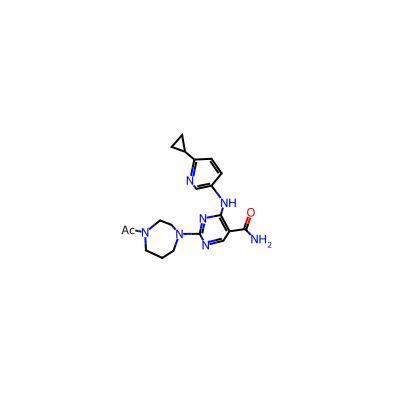 CC(=O)N1CCCN(c2ncc(C(N)=O)c(Nc3ccc(C4CC4)nc3)n2)CC1